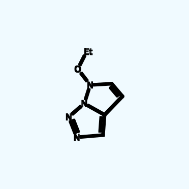 CCOn1ccc2cnnn21